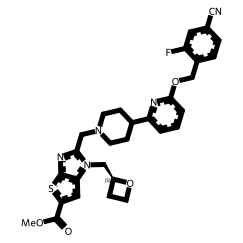 COC(=O)c1cc2c(nc(CN3CCC(c4cccc(OCc5ccc(C#N)cc5F)n4)CC3)n2C[C@@H]2CCO2)s1